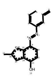 C=C/C=C(\C=C/C)/N=N/c1ccc(O)c2cc(C)sc12